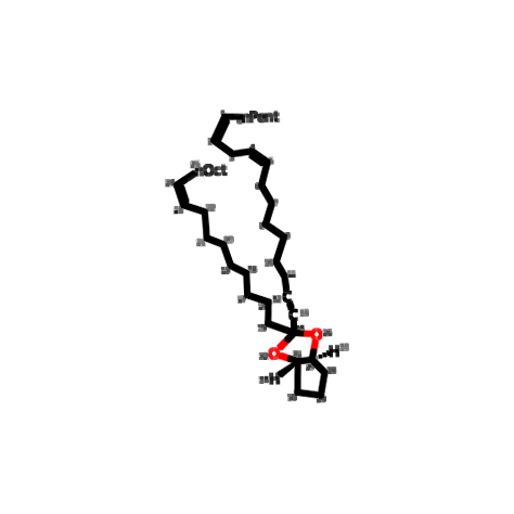 CCCCC/C=C\C/C=C\CCCCCCCCC1(CCCCCCCC/C=C\CCCCCCCC)O[C@H]2CCC[C@@H]2O1